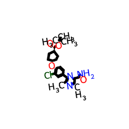 Cc1nc(C)c(-c2ccc(O[C@H]3CC[C@H](C(=O)OC(C)(C)C)CC3)c(Cl)c2)nc1C(N)=O